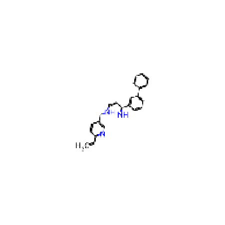 C=Cc1ccc(CN/C=C\C(=N)c2cccc(-c3ccccc3)c2)cn1